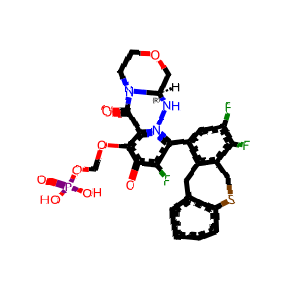 O=C1c2c(OCOP(=O)(O)O)c(=O)c(F)c(-c3cc(F)c(F)c4c3Cc3ccccc3SC4)n2N[C@@H]2COCCN12